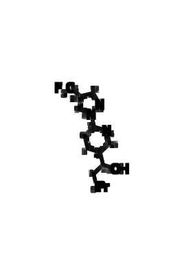 CC(C)CC(O)c1ccc(-n2cc(C(F)(F)F)cn2)nc1